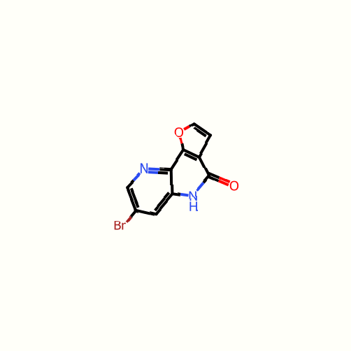 O=c1[nH]c2cc(Br)cnc2c2occc12